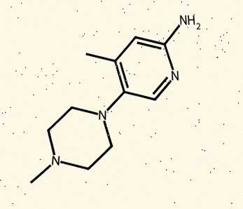 Cc1cc(N)ncc1N1CCN(C)CC1